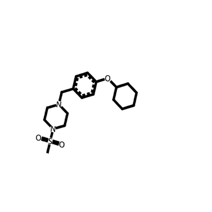 CS(=O)(=O)N1CCN(Cc2ccc(OC3CCCCC3)cc2)CC1